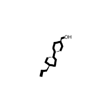 C=CC[C@H]1CC[C@H]([C@H]2CC[C@H](CO)CC2)CC1